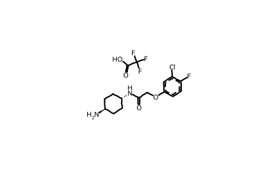 N[C@H]1CC[C@H](NC(=O)COc2ccc(F)c(Cl)c2)CC1.O=C(O)C(F)(F)F